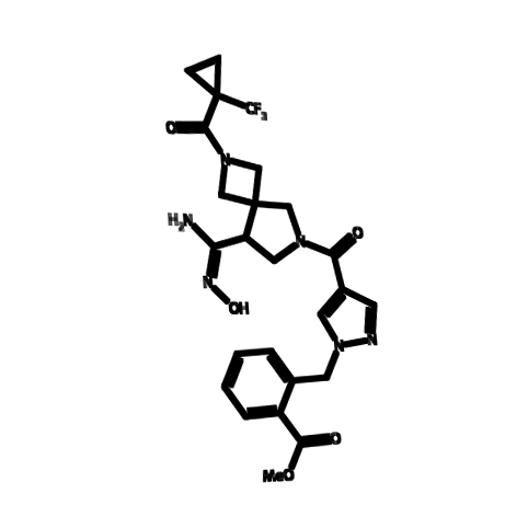 COC(=O)c1ccccc1Cn1cc(C(=O)N2CC(/C(N)=N\O)C3(C2)CN(C(=O)C2(C(F)(F)F)CC2)C3)cn1